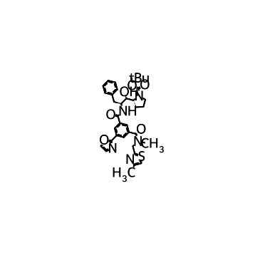 Cc1csc(CN(C)C(=O)c2cc(C(=O)N[C@@H](Cc3ccccc3)[C@H](O)[C@H]3CCCN3C(=O)OC(C)(C)C)cc(-c3ncco3)c2)n1